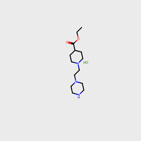 CCOC(=O)C1CCN(CCN2CCNCC2)CC1.Cl